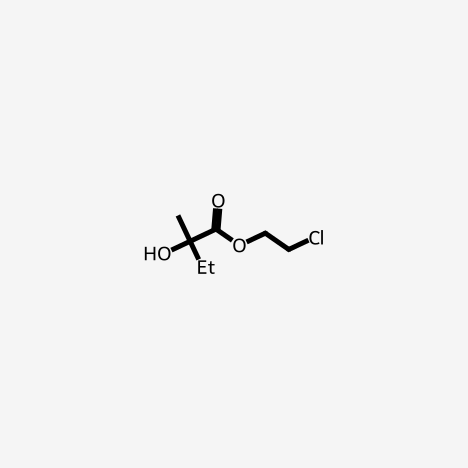 CCC(C)(O)C(=O)OCCCl